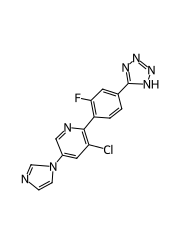 Fc1cc(-c2nnn[nH]2)ccc1-c1ncc(-n2ccnc2)cc1Cl